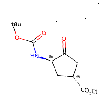 CCOC(=O)[C@H]1CC(=O)[C@H](NC(=O)OC(C)(C)C)C1